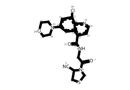 N#CC1CSCN1C(=O)CNC(=O)c1ccnc2c(Cl)cc(N3CCOCC3)cc12